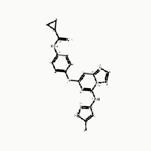 Cc1cc(Nc2nc(Sc3ccc(NC(=O)C4CC4)cc3)cc3ncnn23)n[nH]1